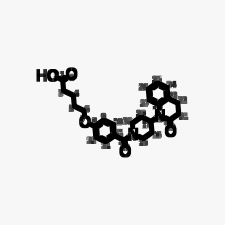 O=C(O)CCCCOc1ccc(C(=O)N2CCC(N3C(=O)CCc4ccccc43)CC2)cc1